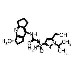 CC(C)n1nc(S(N)(=O)=NC(=O)Nc2c3c(nc4c2CC[C@H]4C)CCC3)cc1CO